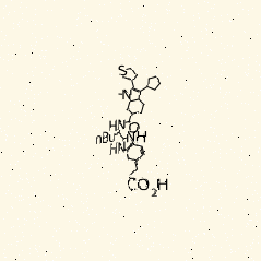 CCCCC(NC(=O)C1CCC2C(C3CCCC3)=C(C3=CSCC3)N(C)C2C1)C1NC2=C(CC(CCC(=O)O)C=C2)N1